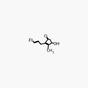 CC/C=C/CC1=C(C)C(O)CC1=O